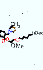 CCCCCCCCCCCCCCCCOCC(COC(=O)c1ccccc1CN1C=C(C)SC1)OC